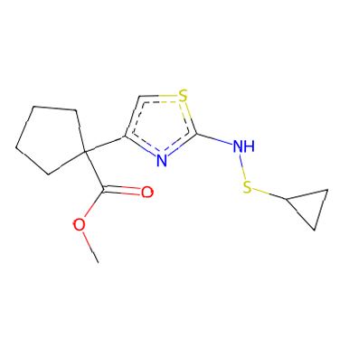 COC(=O)C1(c2csc(NSC3CC3)n2)CCCC1